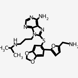 CC(C)NCCCn1c(Sc2cc3c(cc2-c2ccc(CN)o2)OCO3)nc2c(N)ncnc21